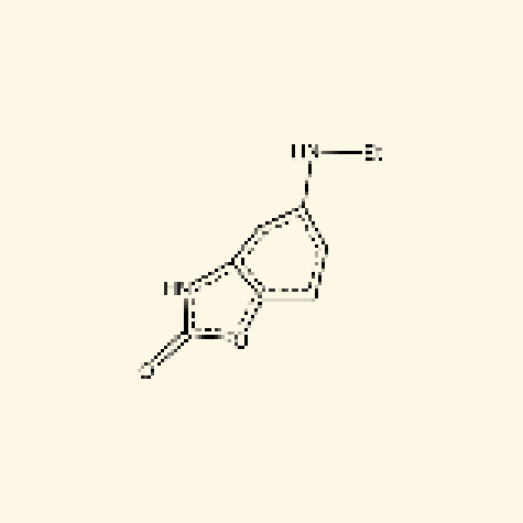 CCNc1ccc2oc(=O)[nH]c2c1